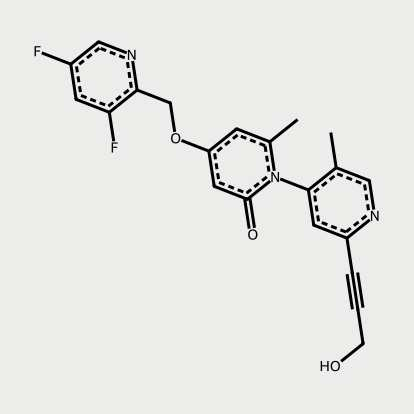 Cc1cnc(C#CCO)cc1-n1c(C)cc(OCc2ncc(F)cc2F)cc1=O